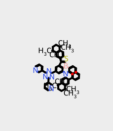 CC1(C)CCC(C)(C)c2cc(N3c4ccccc4B4c5sc6cc7c(cc6c5-c5cc(-c6nc(-c8cccnc8)nc(-c8cccnc8)n6)cc3c54)C(C)(C)CCC7(C)C)c(-c3ccccc3)cc21